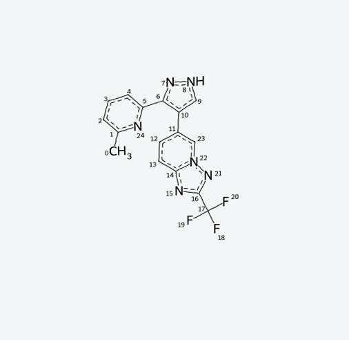 Cc1cccc(-c2n[nH]cc2-c2ccc3nc(C(F)(F)F)nn3c2)n1